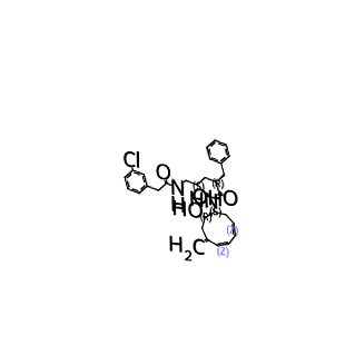 C=C1/C=C\C=C/C[C@H](NC(=O)[C@H](Cc2ccccc2)C[C@H](O)CNC(=O)Cc2cccc(Cl)c2)[C@H](O)C1